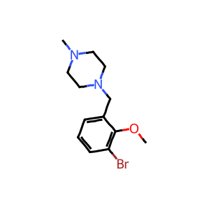 COc1c(Br)cccc1CN1CCN(C)CC1